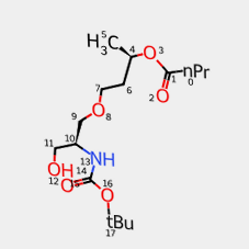 CCCC(=O)O[C@H](C)CCOC[C@H](CO)NC(=O)OC(C)(C)C